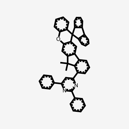 CC1(C)c2cc3c(cc2-c2cccc(-c4cc(-c5ccccc5)nc(-c5ccccc5)n4)c21)C1(c2ccccc2O3)c2ccccc2-c2ccccc21